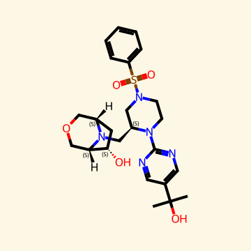 CC(C)(O)c1cnc(N2CCN(S(=O)(=O)c3ccccc3)C[C@@H]2CN2[C@@H]3COC[C@H]2[C@@H](O)C3)nc1